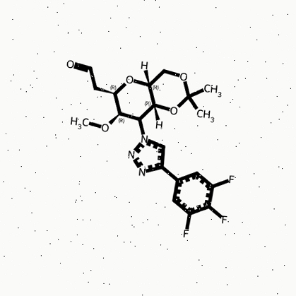 CO[C@@H]1C(n2cc(-c3cc(F)c(F)c(F)c3)nn2)[C@H]2OC(C)(C)OC[C@H]2O[C@@H]1CC=O